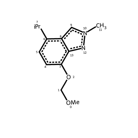 COCOc1ccc(C(C)C)c2cn(C)nc12